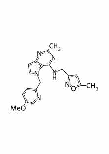 COc1ccc(Cn2ccc3nc(C)nc(NCc4cc(C)on4)c32)nc1